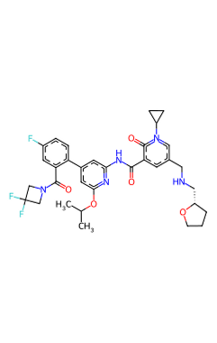 CC(C)Oc1cc(-c2ccc(F)cc2C(=O)N2CC(F)(F)C2)cc(NC(=O)c2cc(CNC[C@@H]3CCCO3)cn(C3CC3)c2=O)n1